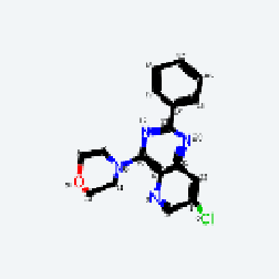 Clc1cnc2c(N3CCOCC3)nc(-c3ccccc3)nc2c1